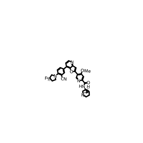 COc1cc(C(=O)N[C@@H]2CN3CCC2CC3)ncc1-c1cc2nccc(-c3ccc(N4CC[C@@H](F)C4)c(C#N)c3)c2o1